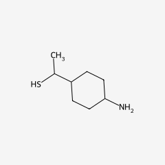 CC(S)C1CCC(N)CC1